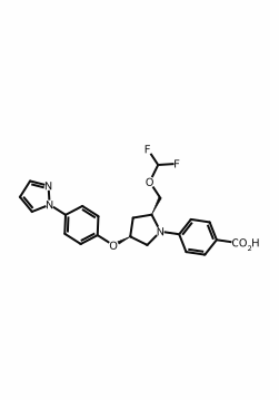 O=C(O)c1ccc(N2C[C@@H](Oc3ccc(-n4cccn4)cc3)C[C@H]2COC(F)F)cc1